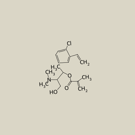 C=C(C)C(=O)OC(C)C(CO)N(C)C.C=Cc1ccccc1Cl